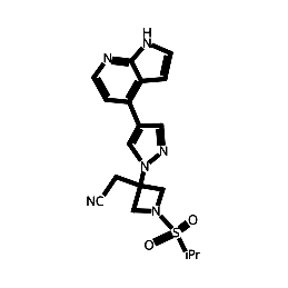 CC(C)S(=O)(=O)N1CC(CC#N)(n2cc(-c3ccnc4[nH]ccc34)cn2)C1